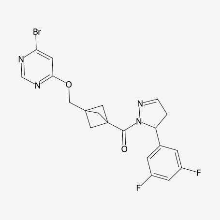 O=C(N1N=CCC1c1cc(F)cc(F)c1)C12CC(COc3cc(Br)ncn3)(C1)C2